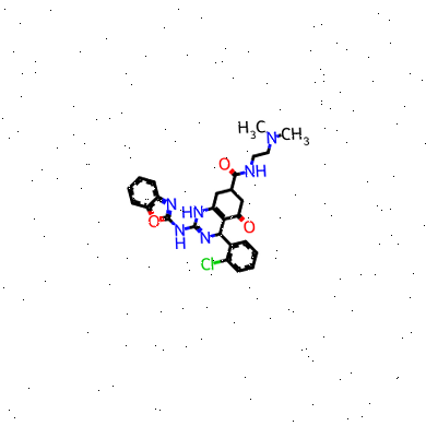 CN(C)CCNC(=O)C1CC(=O)C2=C(C1)NC(Nc1nc3ccccc3o1)=NC2c1ccccc1Cl